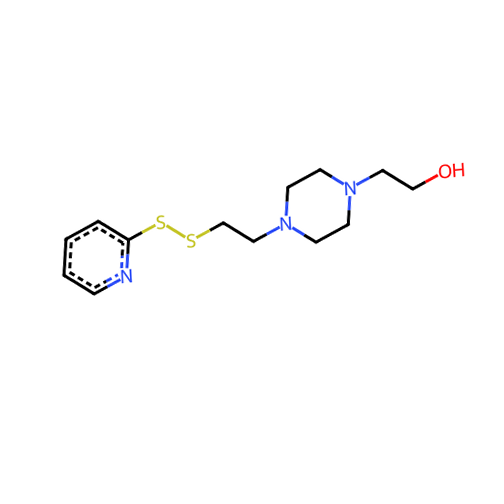 OCCN1CCN(CCSSc2ccccn2)CC1